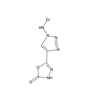 CCNn1cc(-c2n[nH]c(=O)o2)nn1